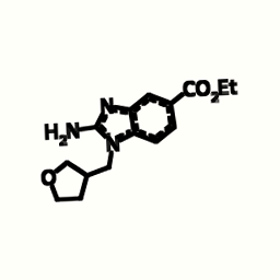 CCOC(=O)c1ccc2c(c1)nc(N)n2CC1CCOC1